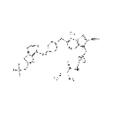 C=C[C@@H](N)C(=O)NC12CC(Cn3c(C#N)cc4c(C)c(CN5CCC(Nc6ncnc7sc(CC(F)(F)F)cc67)CC5)ccc43)(C1)C2